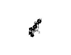 NC(c1ccc(C(=O)Nc2ccncc2)cc1)C1CCCN1C(=O)C1(c2cccs2)CC1